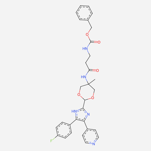 CC1(NC(=O)CCNC(=O)OCc2ccccc2)COC(c2nc(-c3ccncc3)c(-c3ccc(F)cc3)[nH]2)OC1